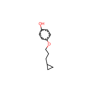 Oc1ccc(OCCCC2CC2)cc1